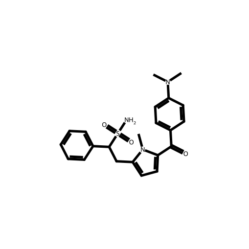 CN(C)c1ccc(C(=O)c2ccc(CC(c3ccccc3)S(N)(=O)=O)n2C)cc1